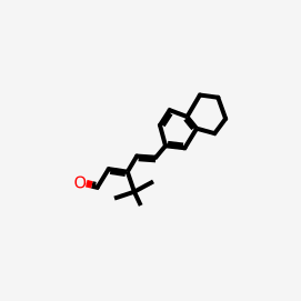 CC(C)(C)C(=C\C=O)/C=C/c1ccc2c(c1)CCCC2